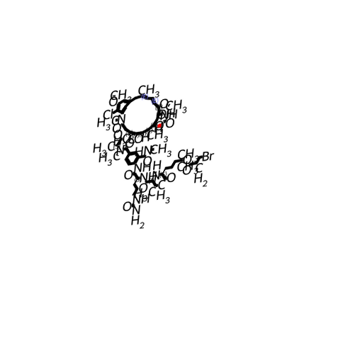 C=C(CBr)C(=O)OC(C)(C)CCC[C@@H](C=O)N[C@H](C(=O)N[C@@H](CCCNC(N)=O)C(=O)Nc1ccc(C(=O)N(C)[C@@H](C)C(=O)O[C@H]2CC(=O)N(C)c3cc(cc(OC)c3Cl)C/C(C)=C/C=C/[C@@H](OC)[C@@]3(O)C[C@H](OC(=O)N3)[C@@H](C)[C@@H]3O[C@@]23C)cc1C(=O)NC)C(C)C